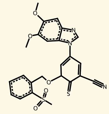 COc1cc2ncn(C3=CC(OCc4ccccc4S(C)(=O)=O)C(=S)C(C#N)=C3)c2cc1OC